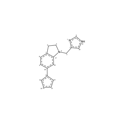 c1nc(CN2CCc3ccc(-c4ccsc4)cc32)c[nH]1